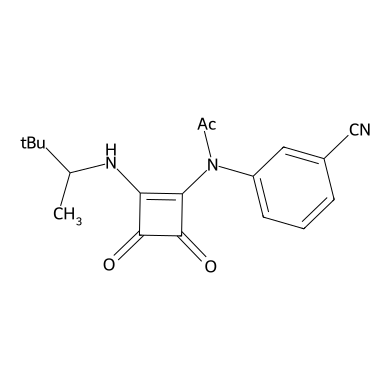 CC(=O)N(c1cccc(C#N)c1)c1c(NC(C)C(C)(C)C)c(=O)c1=O